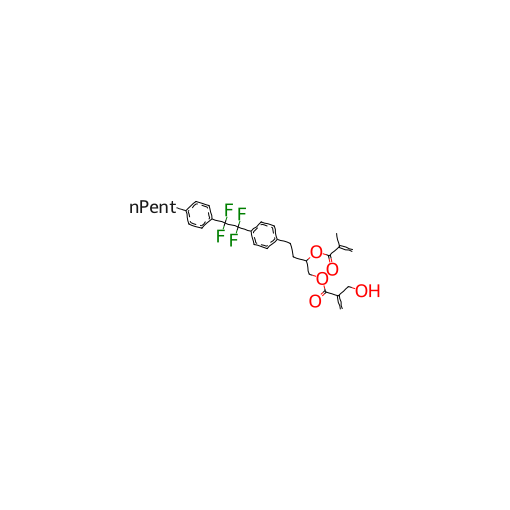 C=C(C)C(=O)OC(CCc1ccc(C(F)(F)C(F)(F)c2ccc(CCCCC)cc2)cc1)COC(=O)C(=C)CO